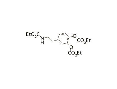 CCOC(=O)NCCc1ccc(OC(=O)OCC)c(OC(=O)OCC)c1